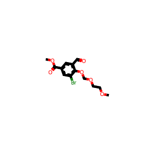 COCCOCOc1c(Br)cc(C(=O)OC)cc1C=O